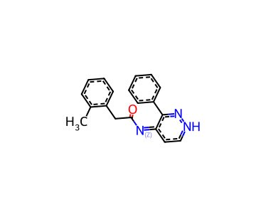 Cc1ccccc1CC(=O)/N=c1/cc[nH]nc1-c1ccccc1